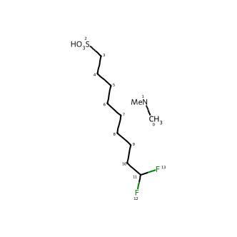 CNC.O=S(=O)(O)CCCCCCCCC(F)F